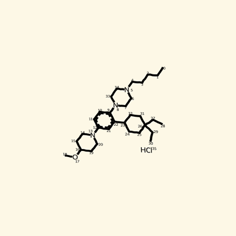 CCCCCN1CCN(c2ccc(N3CCC(OC)CC3)cc2C2CCC(CC)(CC)CC2)CC1.Cl